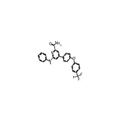 CN(c1ccccc1)c1cc(-c2ccc(Oc3ccc(C(F)(F)F)cc3)cc2)cc(C(N)=O)n1